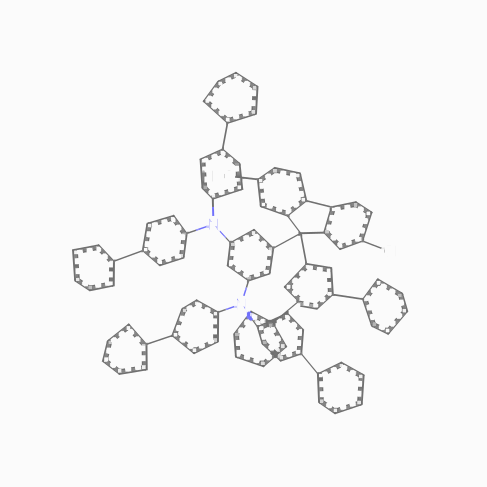 Cc1ccc2c(c1)C(c1cc(-c3ccccc3)cc(-c3ccccc3)c1)(c1cc(N(c3ccc(-c4ccccc4)cc3)c3ccc(-c4ccccc4)cc3)cc(N(c3ccc(-c4ccccc4)cc3)c3ccc(-c4ccccc4)cc3)c1)c1cc(C)ccc1-2